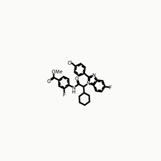 COC(=O)c1ccc(NC(=O)C(C2CCCCC2)n2c(-c3ccc(Cl)cc3)nc3cc(F)ccc32)c(F)c1